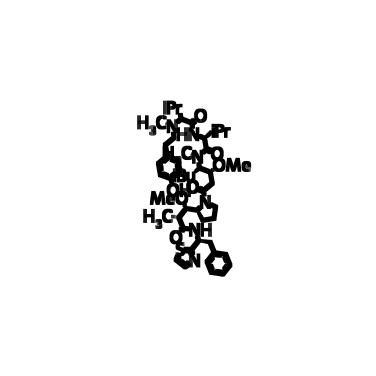 CC[C@H](C)C([C@@H](CC(=O)N1CCC[C@H]1[C@H](OC)[C@@H](C)C(=O)N[C@@H](Cc1ccccc1)c1nccs1)OC)N(C)C(=O)[C@@H](NC(=O)C(C(C)C)N(C)CCc1ccc(O)cc1)C(C)C